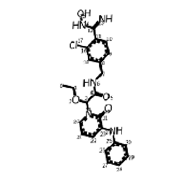 CCOC(C(=O)NCc1ccc(C(=N)NO)c(Cl)c1)n1cccc(Nc2ccccc2)c1=O